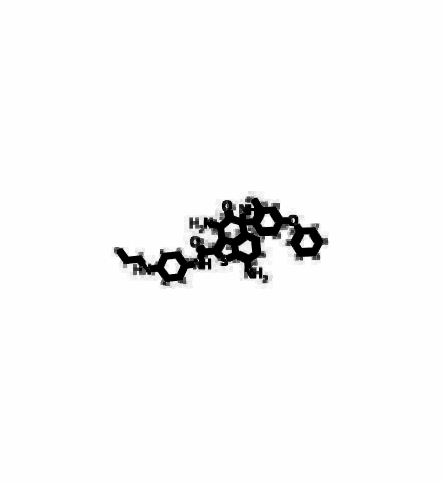 CCCNC1CCC(NC(=O)c2sc3c(N)ccc4c3c2C(N)C(=O)C4(N)c2ccc(Oc3ccccc3)cc2C)CC1